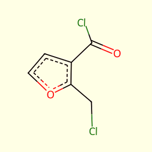 O=C(Cl)c1ccoc1CCl